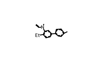 C=CN(C)c1cc(-c2ccc(C)cc2)ccc1CC